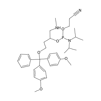 CNCC(CCOC(c1ccccc1)(c1ccc(OC)cc1)c1ccc(OC)cc1)OP(OCCC#N)N(C(C)C)C(C)C